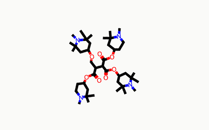 CN1CCC(OC(=O)C(COC2CC(C)(C)N(C)C(C)(C)C2)C(C(=O)OC2CCN(C)C(C)(C)C2)C(=O)OC2CC(C)(C)N(C)C(C)(C)C2)CC1(C)C